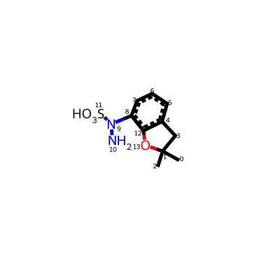 CC1(C)Cc2cccc(N(N)S(=O)(=O)O)c2O1